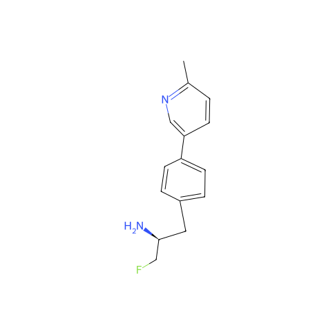 Cc1ccc(-c2ccc(C[C@H](N)CF)cc2)cn1